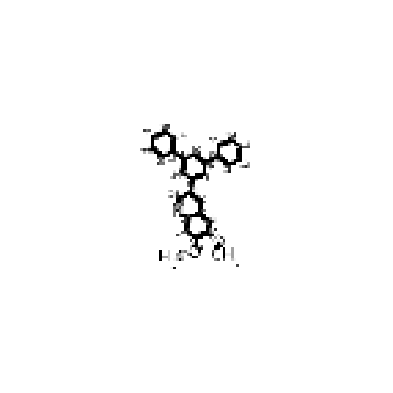 COc1cc2cc(-c3cc(-c4ccccc4)cc(-c4ccccc4)c3)cnc2cc1OC